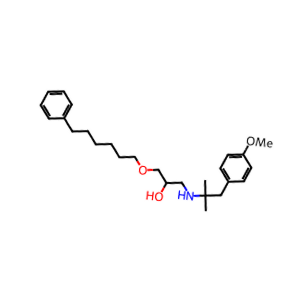 COc1ccc(CC(C)(C)NCC(O)COCCCCCCc2ccccc2)cc1